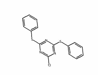 Clc1nc(Sc2ccccc2)nc(Sc2ccccc2)n1